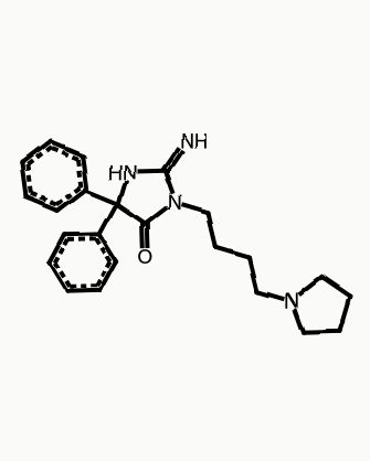 N=C1NC(c2ccccc2)(c2ccccc2)C(=O)N1CCCCN1CCCC1